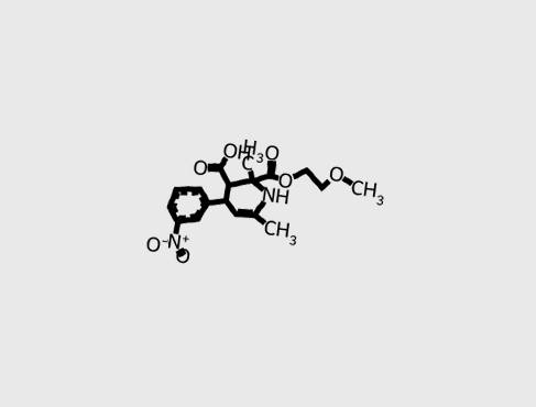 COCCOC(=O)C1(C)NC(C)=CC(c2cccc([N+](=O)[O-])c2)C1C(=O)O